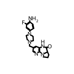 Nc1ccc(N2CCN(Cc3cnc4c(c3)NC(=O)C3CCCN43)CC2)cc1F